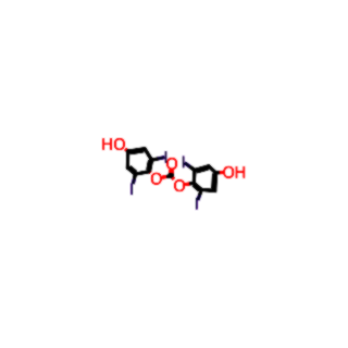 O=C(Oc1c(I)cc(O)cc1I)Oc1c(I)cc(O)cc1I